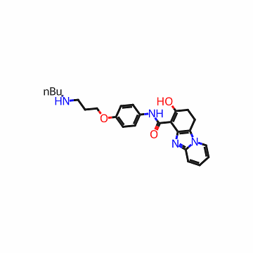 CCCCNCCCOc1ccc(NC(=O)C2=C(O)CCc3c2nc2ccccn32)cc1